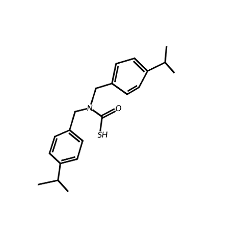 CC(C)c1ccc(CN(Cc2ccc(C(C)C)cc2)C(=O)S)cc1